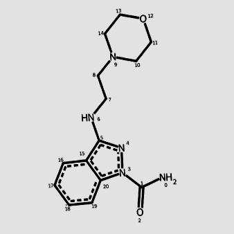 NC(=O)n1nc(NCCN2CCOCC2)c2cc[c]cc21